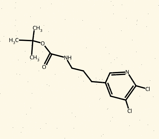 CC(C)(C)OC(=O)NCCCc1cnc(Cl)c(Cl)c1